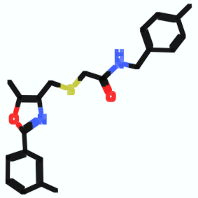 Cc1ccc(CNC(=O)CSCc2nc(-c3cccc(C)c3)oc2C)cc1